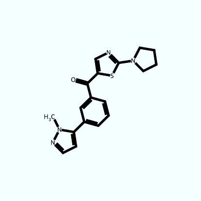 Cn1nccc1-c1cccc(C(=O)c2cnc(N3CCCC3)s2)c1